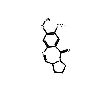 CCCOc1cc2c(cc1OC)C(=O)N1CCCC1C=N2